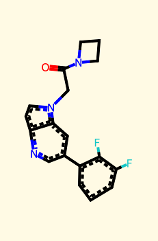 O=C(Cn1ccc2ncc(-c3cccc(F)c3F)cc21)N1CCC1